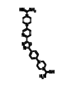 N=C(N)N1CCN(c2ccc(-c3nnc(-c4ccc(N5CCN(C(=N)N)CC5)cn4)o3)cc2)CC1